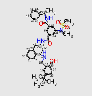 C[C@@H](NC(=O)c1cc(C(=O)N[C@H](CCNCc2cc(C(C)(C)C)ccc2O)Cc2ccccc2)cc(N(C)S(C)(=O)=O)c1)c1ccccc1